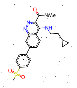 CNC(=O)c1nnc2cc(-c3ccc(S(C)(=O)=O)cc3)ccc2c1NCCC1CC1